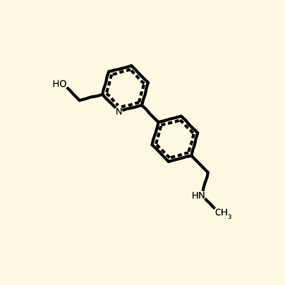 CNCc1ccc(-c2cccc(CO)n2)cc1